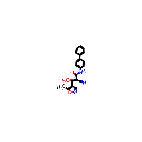 Cc1oncc1/C(O)=C(\C#N)C(=O)Nc1ccc(-c2ccccc2)cc1